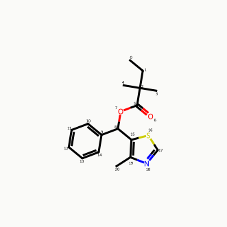 CCC(C)(C)C(=O)OC(c1ccccc1)c1scnc1C